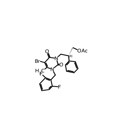 CC(=O)OC[C@@H](Cn1c(=O)c(Br)c(C)n(Cc2c(F)cccc2F)c1=O)c1ccccc1